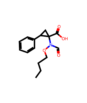 CCCCON(C=O)C1(C(=O)O)CC1c1ccccc1